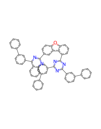 c1ccc(-c2cccc(-c3nc(-c4cccc(-c5ccccc5)c4)nc(-c4cccc5oc6ccc(-c7nc(-c8cccc(-c9ccccc9)c8)c8ccccc8n7)cc6c45)n3)c2)cc1